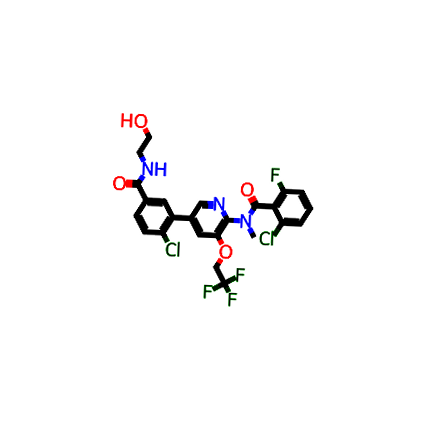 CN(C(=O)c1c(F)cccc1Cl)c1ncc(-c2cc(C(=O)NCCO)ccc2Cl)cc1OCC(F)(F)F